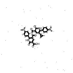 CN(C)c1ccc(-c2[nH]c(=O)c(C(=O)O)cc2C(=O)OC(=O)c2cc(C3CC3)c(-c3ccc(N(C)C)cc3)[nH]c2=O)cc1